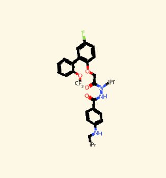 CC(C)CNc1ccc(C(=O)NN(C(=O)COc2ccc(F)cc2-c2ccccc2OC(F)(F)F)C(C)C)cc1